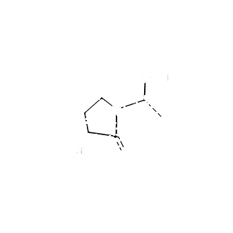 CC(C(=O)O)N1CC[C@@H](N)C1=O